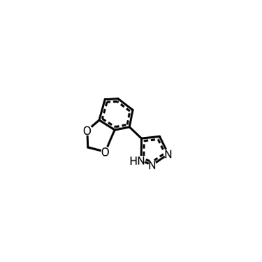 c1cc2c(c(-c3cnn[nH]3)c1)OCO2